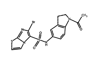 CC(=O)N1CCc2cc(NS(=O)(=O)c3c(Br)nc4sccn34)ccc21